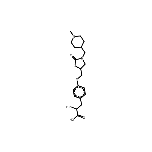 CN1CCC(CN2CC(COc3ccc(CC(N)C(=O)O)cc3)OC2=O)CC1